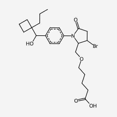 CCCC1(C(O)c2ccc(N3C(=O)CC(Br)C3COCCCCC(=O)O)cc2)CCC1